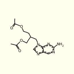 CC(=O)OCCC(COC(C)=O)Cn1cnc2cnc(N)nc21